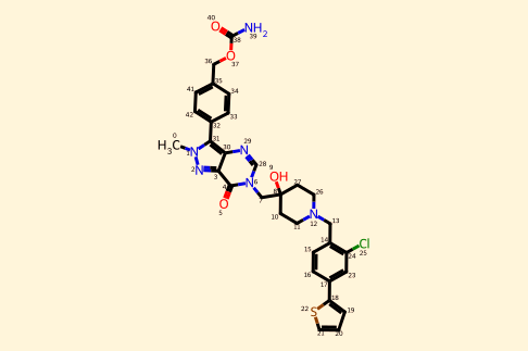 Cn1nc2c(=O)n(CC3(O)CCN(Cc4ccc(-c5cccs5)cc4Cl)CC3)cnc2c1-c1ccc(COC(N)=O)cc1